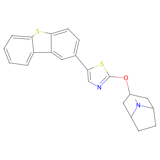 CN1C2CCC1CC(Oc1ncc(-c3ccc4sc5ccccc5c4c3)s1)C2